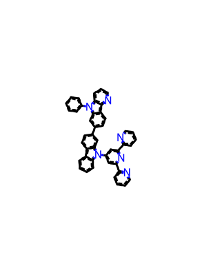 c1ccc(-n2c3cc(-c4ccc5c6ccccc6n(-c6cc(-c7ccccn7)nc(-c7ccccn7)c6)c5c4)ccc3c3ncccc32)cc1